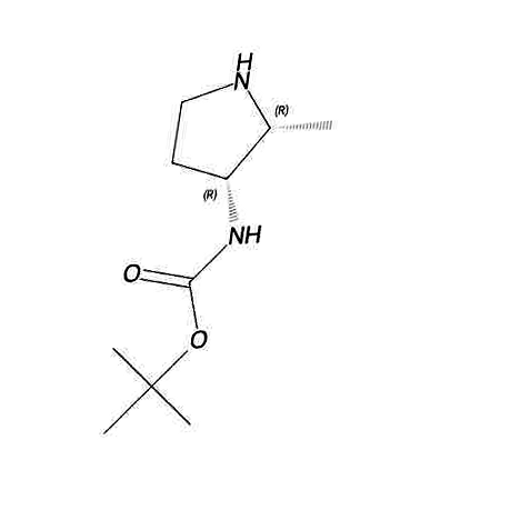 C[C@H]1NCC[C@H]1NC(=O)OC(C)(C)C